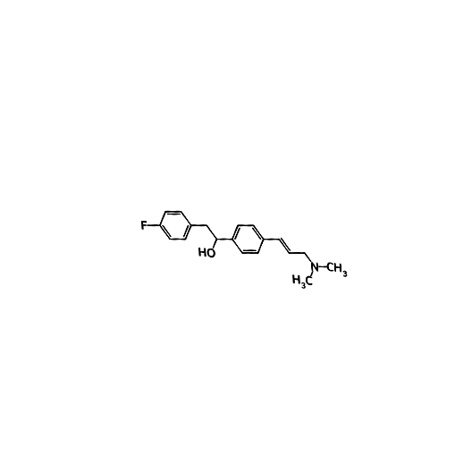 CN(C)C/C=C/c1ccc(C(O)Cc2ccc(F)cc2)cc1